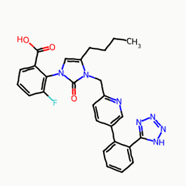 CCCCc1cn(-c2c(F)cccc2C(=O)O)c(=O)n1Cc1ccc(-c2ccccc2-c2nnn[nH]2)cn1